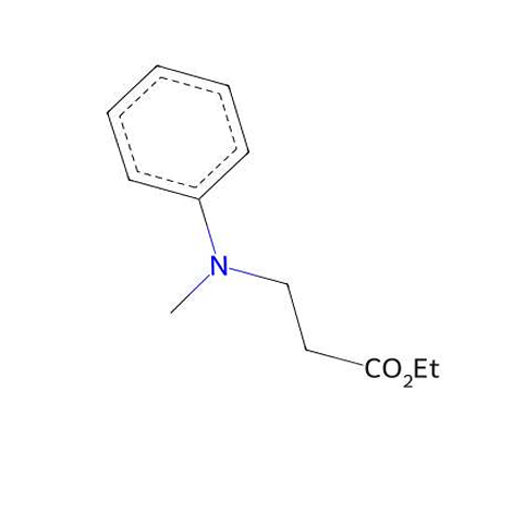 CCOC(=O)CCN(C)c1ccccc1